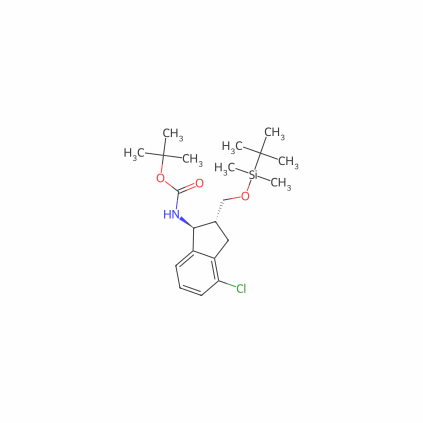 CC(C)(C)OC(=O)N[C@@H]1c2cccc(Cl)c2C[C@H]1CO[Si](C)(C)C(C)(C)C